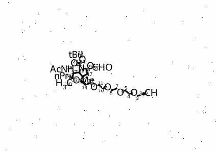 C#CCOCCOCCOCCOC/C=C\[C@@H]1C[C@H](OC=O)N(C(=O)OC(C)(C)C)[C@H]1[C@@H](NC(C)=O)[C@](C)(CCC)OC